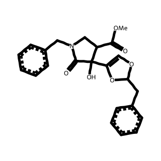 COC(=O)C1CN(Cc2ccccc2)C(=O)C1(O)C1=COC(Cc2ccccc2)O1